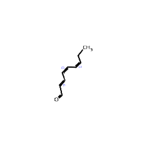 CC\C=C/C=C\C=C\C=O